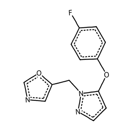 Fc1ccc(Oc2ccnn2Cc2cnco2)cc1